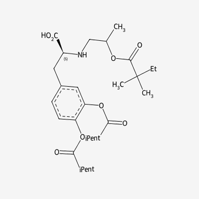 CCCC(C)C(=O)Oc1ccc(C[C@H](NCC(C)OC(=O)C(C)(C)CC)C(=O)O)cc1OC(=O)C(C)CCC